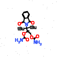 CC(C)(C)C([C@@H](COC(N)=O)OC(N)=O)(N1C(=O)c2ccccc2C1=O)C(C)(C)C